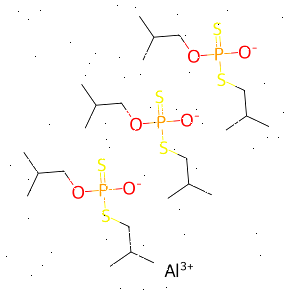 CC(C)COP([O-])(=S)SCC(C)C.CC(C)COP([O-])(=S)SCC(C)C.CC(C)COP([O-])(=S)SCC(C)C.[Al+3]